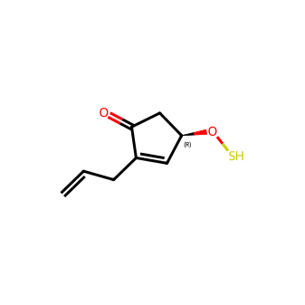 C=CCC1=C[C@H](OS)CC1=O